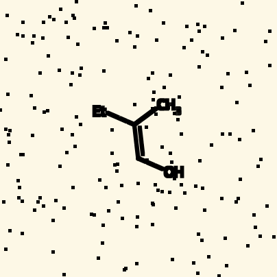 CC/C(C)=C/O